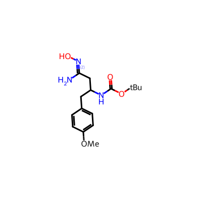 COc1ccc(CC(C/C(N)=N/O)NC(=O)OC(C)(C)C)cc1